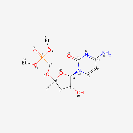 CCOP(=O)(CO[C@]1(C)C[C@@H](O)[C@H](n2ccc(N)nc2=O)O1)OCC